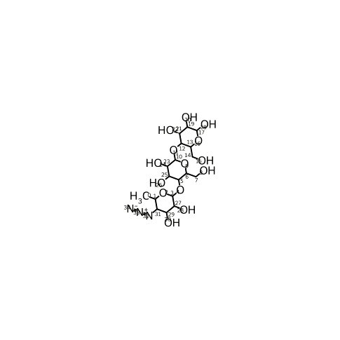 CC1OC(OC2C(CO)OC(OC3C(CO)OC(O)C(O)[C@@H]3O)C(O)C2O)C(O)C(O)C1N=[N+]=[N-]